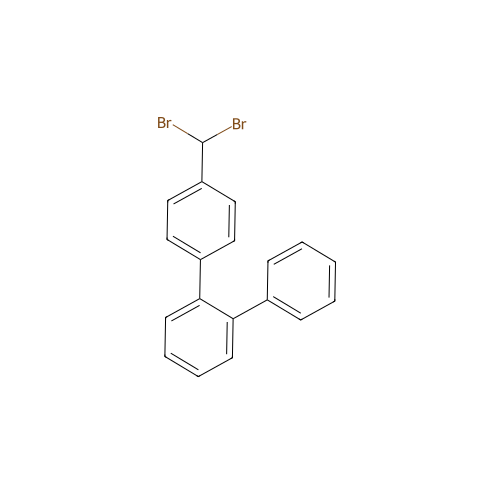 BrC(Br)c1ccc(-c2ccccc2-c2ccccc2)cc1